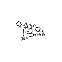 CCS(=O)(=O)c1ccc(Oc2cc3nc(-c4ccccn4)n(COCC[Si](C)(C)C)c3cc2CN2C(=O)CC(O)C2=O)cc1